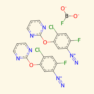 N#[N+]c1cc(Oc2ncccn2)c(Cl)cc1F.N#[N+]c1cc(Oc2ncccn2)c(Cl)cc1F.[O-]B([O-])F